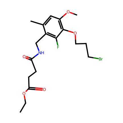 CCOC(=O)CCC(=O)NCc1c(C)cc(OC)c(OCCCBr)c1F